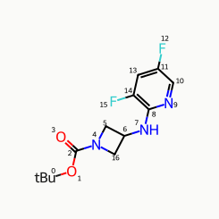 CC(C)(C)OC(=O)N1CC(Nc2ncc(F)cc2F)C1